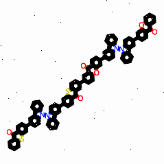 O=c1c2ccccc2oc2cc(-c3ccc4c(c3)c3ccccc3n4-n3c4ccccc4c4cc(-c5ccc6c(=O)c7cc(-c8ccc9sc%10cc(-c%11ccc%12c(c%11)c%11ccccc%11n%12-n%11c%12ccccc%12c%12cc(-c%13ccc%14c(=O)c%15ccccc%15sc%14c%13)ccc%12%11)ccc%10c(=O)c9c8)ccc7oc6c5)ccc43)ccc12